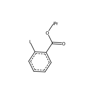 CC(C)OC(=O)c1ccccc1I